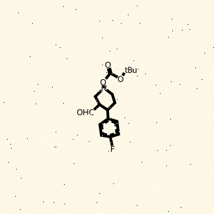 CC(C)(C)OC(=O)ON1CCC(c2ccc(F)cc2)C(C=O)C1